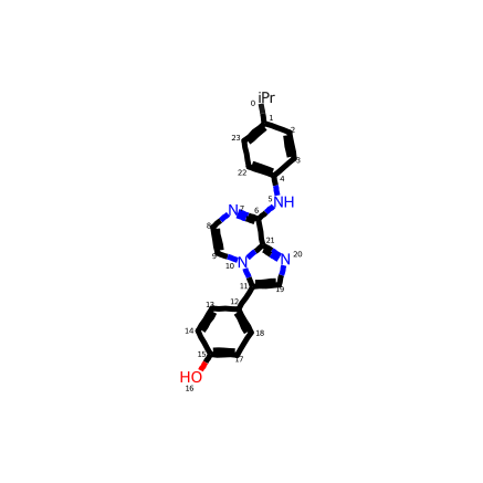 CC(C)c1ccc(Nc2nccn3c(-c4ccc(O)cc4)cnc23)cc1